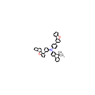 CC1(C)c2ccccc2-c2ccc(N(c3ccc(-c4ccc5oc6ccccc6c5c4)cc3)c3cccc(-c4cccc5oc6c7ccccc7ccc6c45)c3)cc21